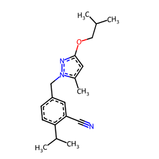 Cc1cc(OCC(C)C)nn1Cc1ccc(C(C)C)c(C#N)c1